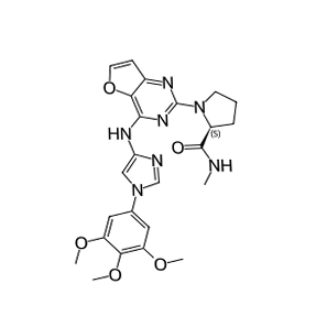 CNC(=O)[C@@H]1CCCN1c1nc(Nc2cn(-c3cc(OC)c(OC)c(OC)c3)cn2)c2occc2n1